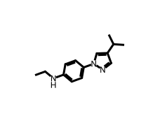 CCNc1ccc(-n2cc(C(C)C)cn2)cc1